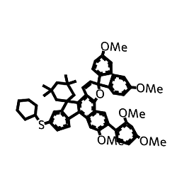 COc1ccc(C2(c3ccc(OC)cc3)C=Cc3c4c(c5cc(OC)c(-c6ccc(OC)cc6OC)cc5c3O2)-c2ccc(SC3CCCCC3)cc2C42CC(C)(C)CC(C)(C)C2)cc1